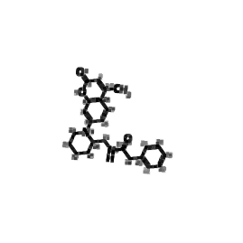 Cc1cc(=O)oc2cc(N3CCCCC3CNC(=O)Cc3ccccc3)ccc12